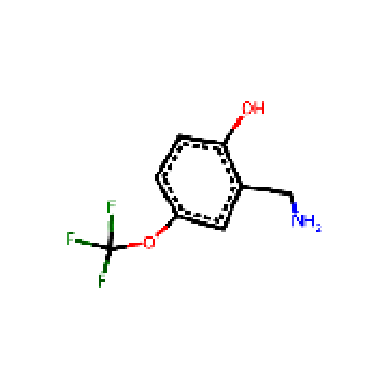 NCc1cc(OC(F)(F)F)ccc1O